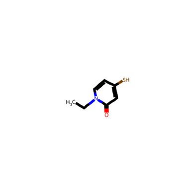 CCn1ccc(S)cc1=O